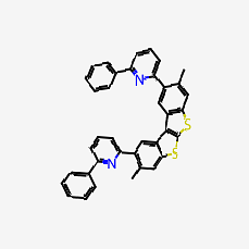 Cc1cc2sc3sc4cc(C)c(-c5cccc(-c6ccccc6)n5)cc4c3c2cc1-c1cccc(-c2ccccc2)n1